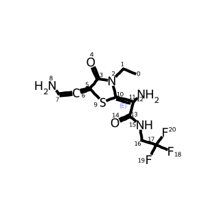 CCn1c(=O)c(=C=CN)s/c1=C(/N)C(=O)NCC(F)(F)F